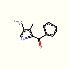 CCOC(=O)c1c[nH]c(C(=O)c2ccccc2)c1C